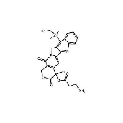 CCC1(OC(=O)CCN)C(=O)OCc2c1cc1n(c2=O)Cc2c-1nc1ccccc1c2[Si](C)(C)CC(C)C